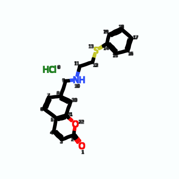 Cl.O=c1ccc2ccc(CNCCSc3ccccc3)cc2o1